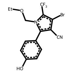 CCOCn1c(-c2ccc(O)cc2)c(C#N)c(Br)c1C(F)(F)F